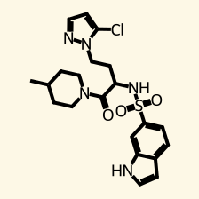 CC1CCN(C(=O)C(CCn2nccc2Cl)NS(=O)(=O)c2ccc3cc[nH]c3c2)CC1